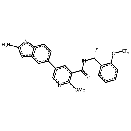 COc1ncc(-c2ccc3nc(N)sc3c2)cc1C(=O)N[C@H](C)c1ccccc1OC(F)(F)F